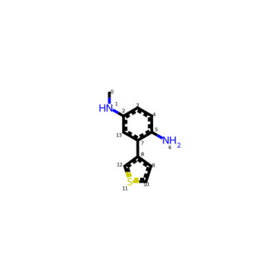 CNc1ccc(N)c(-c2ccsc2)c1